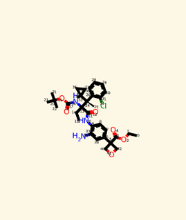 CCOC(=O)C1(c2ccc(NC(=O)C(CC)(NC(=O)OC(C)(C)C)[C@@](C)(c3ccccc3Cl)C3(C)CC3)c(N)c2)COC1